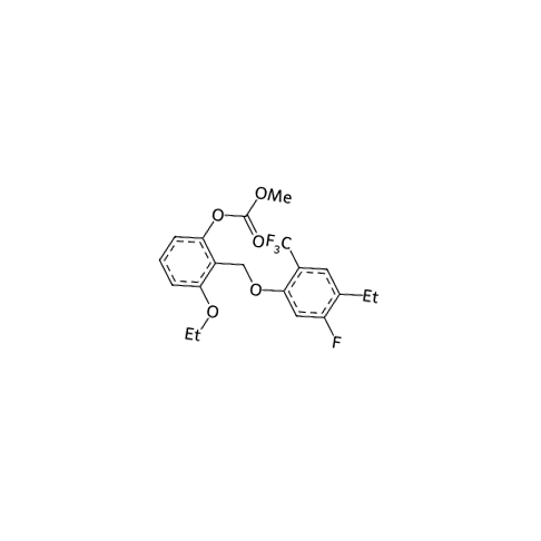 CCOc1cccc(OC(=O)OC)c1COc1cc(F)c(CC)cc1C(F)(F)F